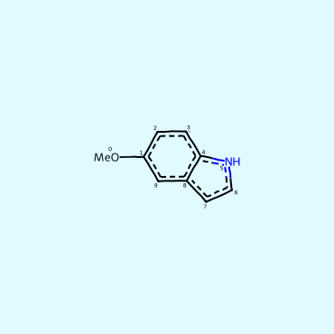 COc1c[c]c2[nH]ccc2c1